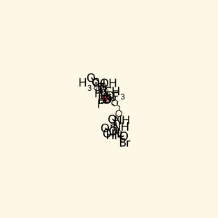 C[C@]12C=CC(=O)C=C1CC[C@@H]1[C@@H]2[C@@H](O)C[C@@]2(C)[C@H]1C[C@H]1O[C@@H](c3ccc(CC4CCC(NC(=O)[C@H](CCC(=O)O)NC(=O)CNC(=O)CBr)CC4)cc3F)O[C@]12C(=O)SCF